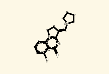 O=c1nc2n(c3cccc(Cl)c13)CC/C2=C\N1CCCC1